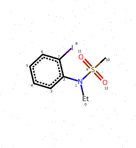 CCN(c1ccccc1I)S(C)(=O)=O